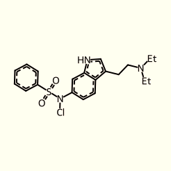 CCN(CC)CCc1c[nH]c2cc(N(Cl)S(=O)(=O)c3ccccc3)ccc12